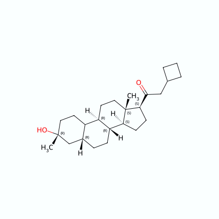 C[C@@]1(O)CCC2[C@H](CC[C@@H]3[C@@H]2CC[C@]2(C)[C@@H](C(=O)CC4CCC4)CC[C@@H]32)C1